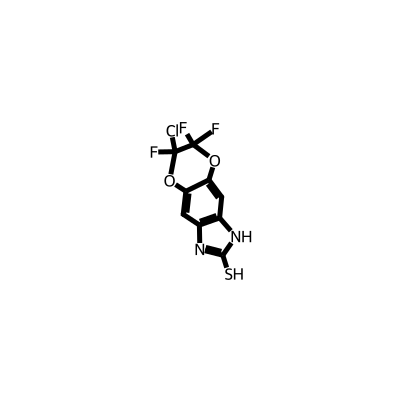 FC1(F)Oc2cc3[nH]c(S)nc3cc2OC1(F)Cl